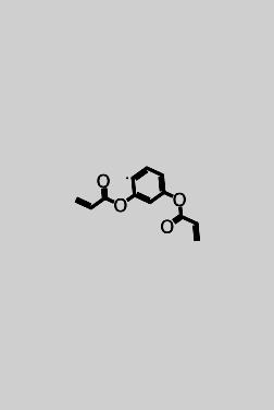 C=CC(=O)Oc1[c]ccc(OC(=O)C=C)c1